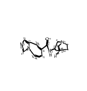 O=C(NC1CN2CC[C@H]1C2)c1ccn2cncc2c1